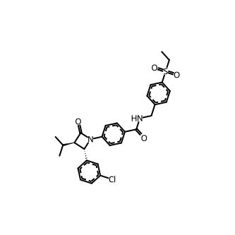 CCS(=O)(=O)c1ccc(CNC(=O)c2ccc(N3C(=O)[C@H](C(C)C)[C@H]3c3cccc(Cl)c3)cc2)cc1